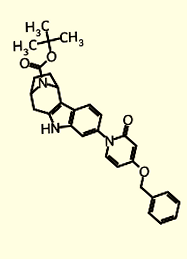 CC(C)(C)OC(=O)N1C2CCC1c1c([nH]c3cc(-n4ccc(OCc5ccccc5)cc4=O)ccc13)C2